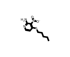 CCCCCSc1ccnc(N)c1[N+](=O)[O-]